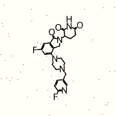 O=C1CCC(N2Cc3c(cc(F)cc3N3CCN(Cc4ccc(F)nc4)CC3)C2=O)C(=O)N1